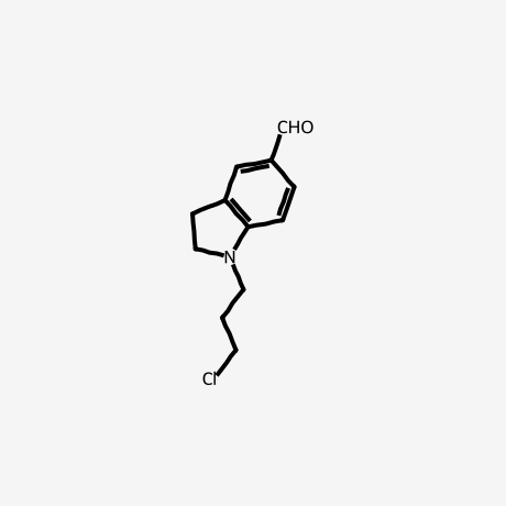 O=Cc1ccc2c(c1)CCN2CCCCl